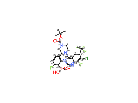 CC(C)(C)OC(=O)N1CCN(c2ncnc3c(F)c(Cl)c(C(F)(F)F)cc23)C(c2ccc(F)c(B(O)O)c2)C1